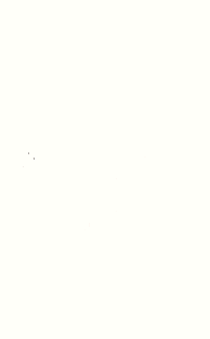 NC=C(C(=O)C(=O)c1ccccc1)c1ccccc1